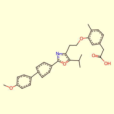 COc1ccc(-c2ccc(-c3nc(CCOc4cc(CC(=O)O)ccc4C)c(C(C)C)o3)cc2)cc1